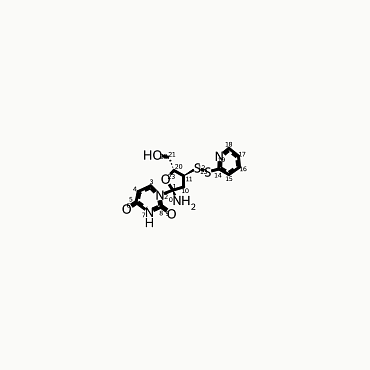 N[C@]1(n2ccc(=O)[nH]c2=O)C[C@H](SSc2ccccn2)[C@@H](CO)O1